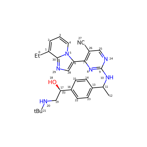 CCc1cccn2c(-c3nc(NC(C)c4ccc([C@H](O)CNC(C)(C)C)cc4)ncc3C#N)cnc12